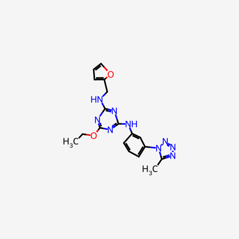 CCOc1nc(NCc2ccco2)nc(Nc2cccc(-n3nnnc3C)c2)n1